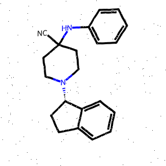 N#CC1(Nc2ccccc2)CCN([C@H]2CCc3ccccc32)CC1